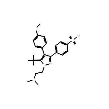 CSc1ccc(-c2c(-c3ccc(S(N)(=O)=O)cc3)nn(CCN(C)C)c2C(F)(F)F)cc1